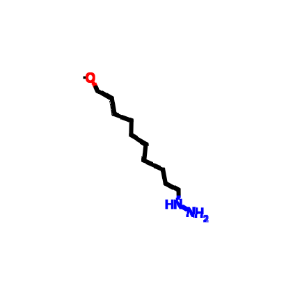 NNCCCCCCCCCC[O]